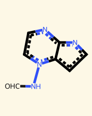 O=CNn1ccnc2nccc1-2